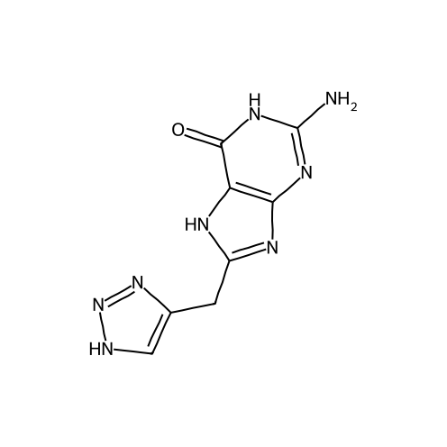 Nc1nc2nc(Cc3c[nH]nn3)[nH]c2c(=O)[nH]1